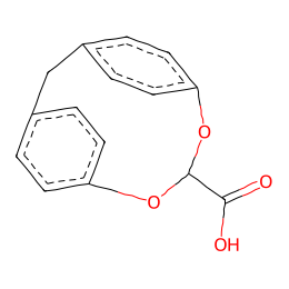 O=C(O)C1Oc2ccc(cc2)Cc2ccc(cc2)O1